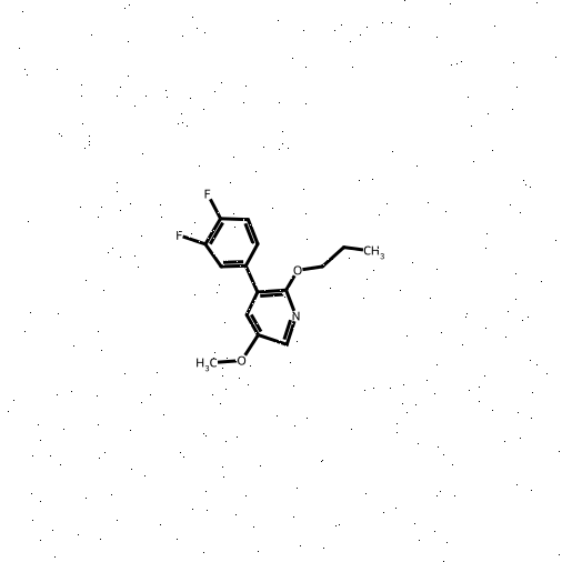 CCCOc1ncc(OC)cc1-c1ccc(F)c(F)c1